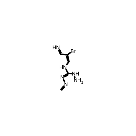 C=N/N=C(\NN)N/C=C(/Br)C=N